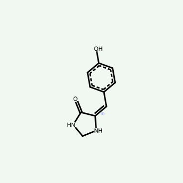 O=C1NCN/C1=C/c1ccc(O)cc1